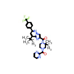 CC(C)(C)c1cc(-c2ccc(C(F)(F)F)cc2)nn2cc(C(=O)N3CCN(C(=O)c4ncccn4)CC3(C)C)nc12